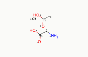 CC(=O)O.NCC(=O)O.[Zn]